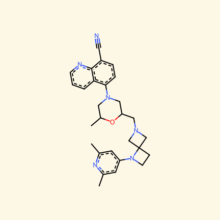 Cc1cc(N2CCC23CN(CC2CN(c4ccc(C#N)c5ncccc45)CC(C)O2)C3)cc(C)n1